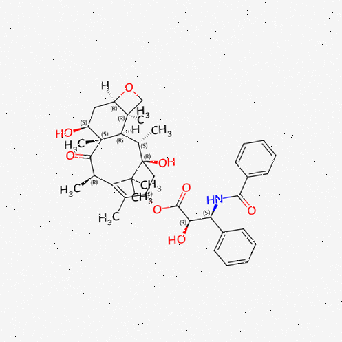 CC1=C2[C@@H](C)C(=O)[C@@]3(C)[C@H]([C@H](C)[C@](O)(C[C@@H]1OC(=O)[C@H](O)[C@@H](NC(=O)c1ccccc1)c1ccccc1)C2(C)C)[C@]1(C)CO[C@@H]1C[C@@H]3O